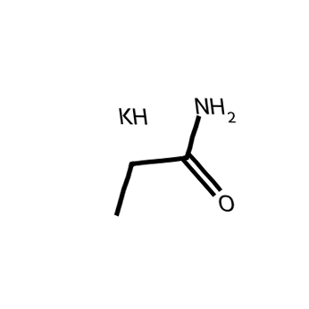 CCC(N)=O.[KH]